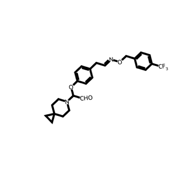 O=CC(Oc1ccc(CC=NOCc2ccc(C(F)(F)F)cc2)cc1)N1CCC2(CC1)CC2